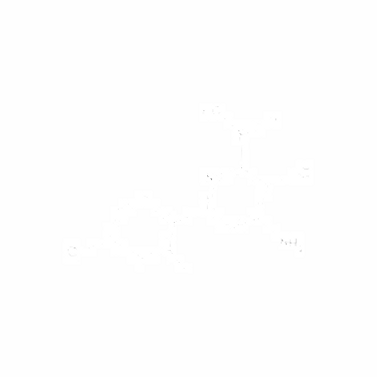 Cc1cc(Cl)ccc1-c1cc(N)c(Cl)c(C(=O)O)n1